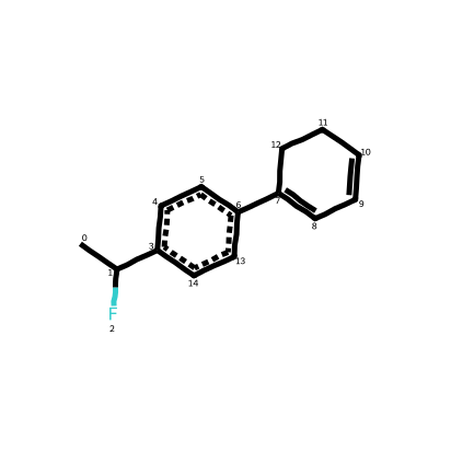 CC(F)c1ccc(C2=CC=CCC2)cc1